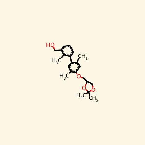 Cc1cc(-c2cccc(CO)c2C)c(C)cc1OCC1COC(C)(C)O1